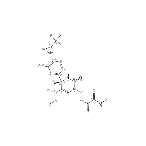 C=C(CCN1C=C([C@@H](C)CC)[C@](C)(c2ccc([C@@H]3CC3C(C)(C)C)c(Cl)c2)NC1=O)C(=O)OC